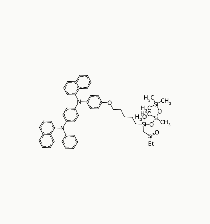 CC[Si](=O)C[Si](C)(CCCCCOc1ccc(N(c2ccc(N(c3ccccc3)c3cccc4ccccc34)cc2)c2cccc3ccccc23)cc1)O[Si](C)(C)O[Si](C)(C)C